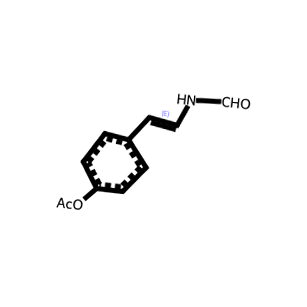 CC(=O)Oc1ccc(/C=C/NC=O)cc1